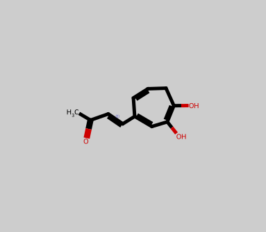 CC(=O)/C=C/C1=CC(O)=C(O)CC=C1